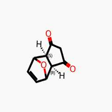 O=C1CC(=O)[C@H]2C3C=CC(O3)[C@@H]12